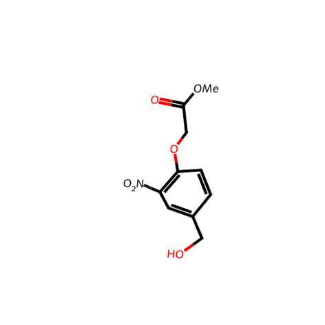 COC(=O)COc1ccc(CO)cc1[N+](=O)[O-]